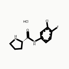 Cl.O=C(Nc1ccc(F)c(Cl)c1)[C@@H]1CCCN1